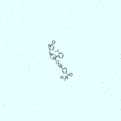 COc1ccc(CN2CCN(C3CC4(C3)CN(c3ccc(C(N)=O)cc3)C4)[C@H](c3ccccc3C(C)C)C2)cn1